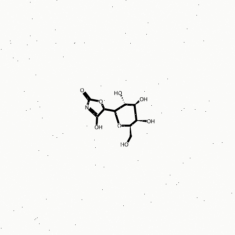 O=C1N=C(O)C(C2O[C@H](CO)[C@H](O)[C@H](O)[C@H]2O)O1